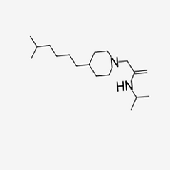 C=C(CN1CCC(CCCCC(C)C)CC1)NC(C)C